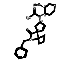 CO[C@@H]1COCC[C@@H]1N(C(=O)C(F)(F)F)[C@@H]1C=C[C@@](C(=O)OCc2ccccc2)(C2(C)CCC2)C1